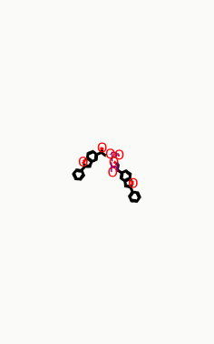 O=C(CO[PH](=O)OCC(=O)c1ccc2oc(-c3ccccc3)cc2c1)c1ccc2oc(-c3ccccc3)cc2c1